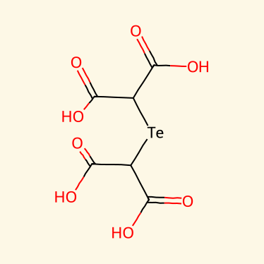 O=C(O)C([Te]C(C(=O)O)C(=O)O)C(=O)O